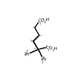 CC(C)C(CCCC(=O)O)(C(=O)O)C(C)C